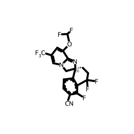 N#Cc1ccc2c(c1F)C(F)(F)CC[C@@]21CN2C=C(C(F)(F)F)C=C(OC(F)F)C2=N1